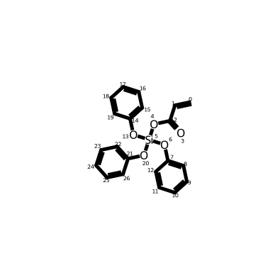 C=CC(=O)O[Si](Oc1ccccc1)(Oc1ccccc1)Oc1ccccc1